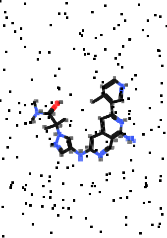 Cc1ccncc1-c1cc2cc(Nc3cnn(C(C)(C)C(=O)N(C)C)c3)ncc2c(N)n1